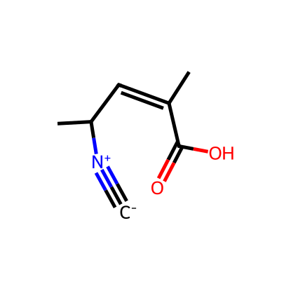 [C-]#[N+]C(C)C=C(C)C(=O)O